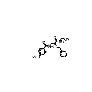 COc1ccc(C(=O)NCC(SCc2ccccc2)C(=O)NCC#N)cc1